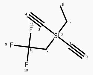 C#C[Si](C#C)(CC)CC(F)(F)F